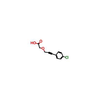 O=C(O)COCC#Cc1ccc(Cl)cc1